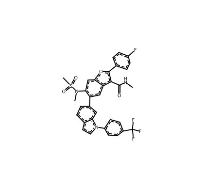 CNC(=O)c1c(-c2ccc(F)cc2)oc2cc(N(C)S(C)(=O)=O)c(-c3ccc4ccn(-c5ccc(C(F)(F)F)cc5)c4c3)cc12